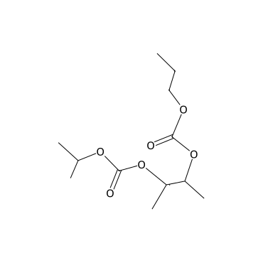 CCCOC(=O)OC(C)[C](C)OC(=O)OC(C)C